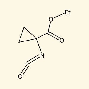 CCOC(=O)C1(N=C=O)CC1